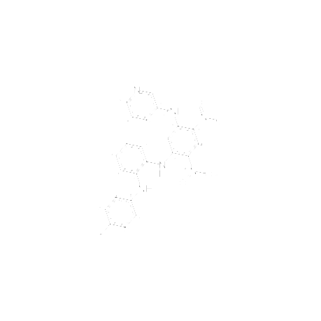 O=[N+]([O-])c1cc([N+](=O)[O-])c(Nc2ccccc2Nc2ccc(Cl)cc2)cc1Nc1cccnc1